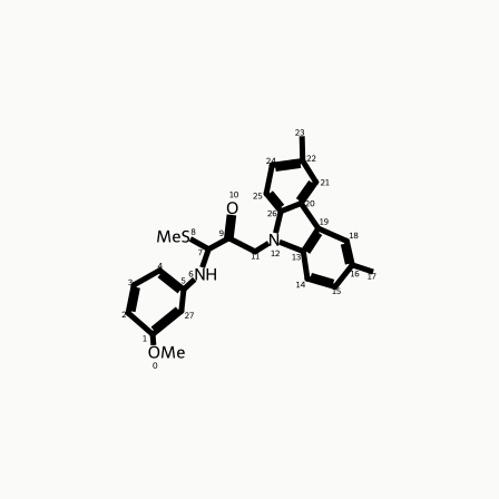 COc1cccc(NC(SC)C(=O)Cn2c3ccc(C)cc3c3cc(C)ccc32)c1